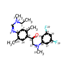 CCN(C)/C=N\c1cc(C)c(C(=O)CN(C)c2cc(F)cc(F)c2)cc1C